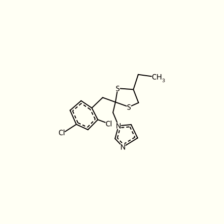 CCC1CSC(Cc2ccc(Cl)cc2Cl)(Cn2ccnc2)S1